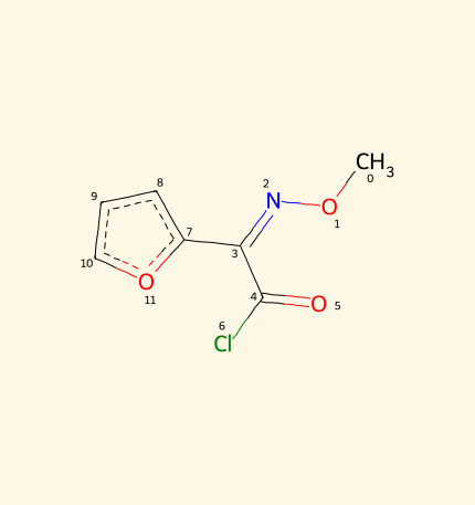 CON=C(C(=O)Cl)c1ccco1